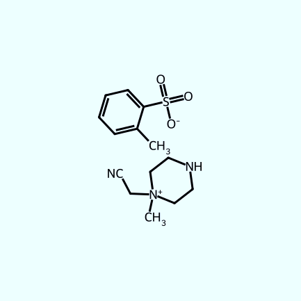 C[N+]1(CC#N)CCNCC1.Cc1ccccc1S(=O)(=O)[O-]